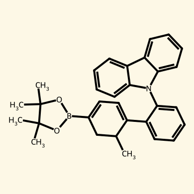 CC1CC(B2OC(C)(C)C(C)(C)O2)=CC=C1c1ccccc1-n1c2ccccc2c2ccccc21